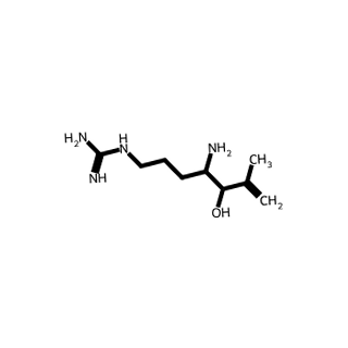 C=C(C)C(O)C(N)CCCNC(=N)N